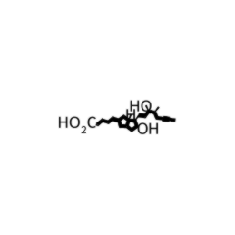 CC#CC[C@H](C)[C@H](O)/C=C/[C@H]1[C@H](O)CC2C/C(=C\CCCC(=O)O)C[C@@H]21